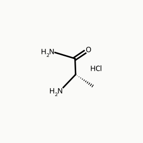 C[C@H](N)C(N)=O.Cl